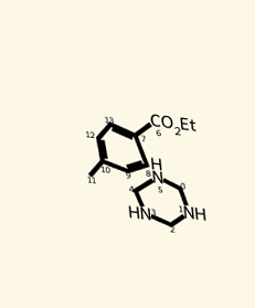 C1NCNCN1.CCOC(=O)c1ccc(C)cc1